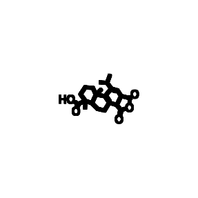 CC(C)C1=CC2C(=O)OC(=O)C2C2=C1C1(C)CCCC(C)(C(=O)O)C1CC2